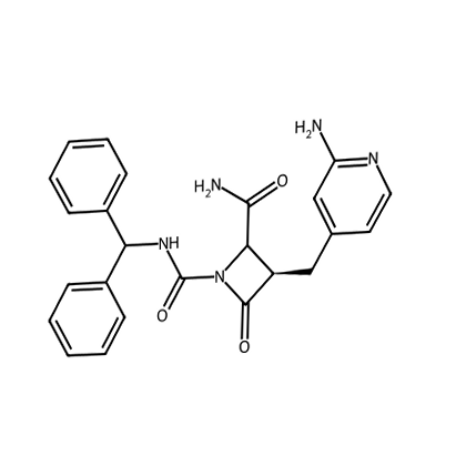 NC(=O)C1[C@@H](Cc2ccnc(N)c2)C(=O)N1C(=O)NC(c1ccccc1)c1ccccc1